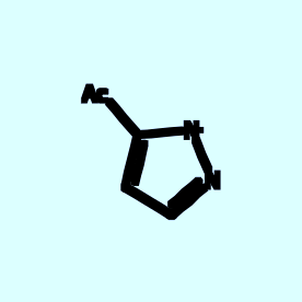 CC(=O)C1=CC=N[N]1